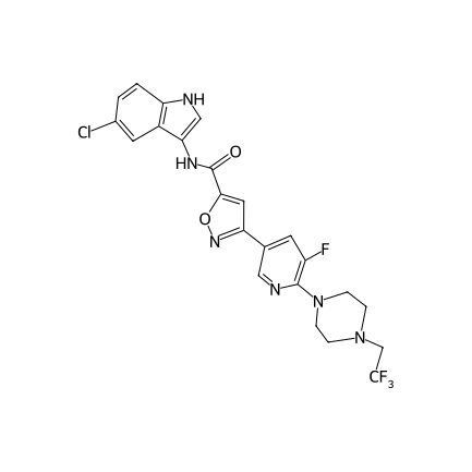 O=C(Nc1c[nH]c2ccc(Cl)cc12)c1cc(-c2cnc(N3CCN(CC(F)(F)F)CC3)c(F)c2)no1